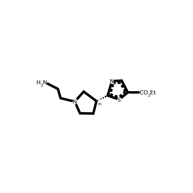 CCOC(=O)c1cnc([C@@H]2CCN(CCN)C2)s1